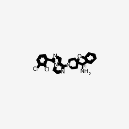 N[C@@H]1c2ccccc2OC12CCN(c1nccn3c(-c4cccc(Cl)c4Cl)ncc13)CC2